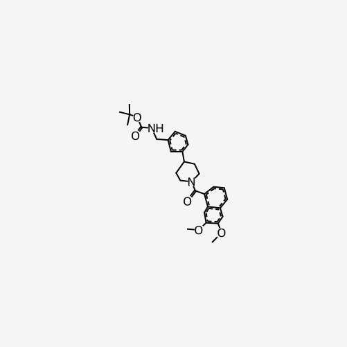 COc1cc2cccc(C(=O)N3CCC(c4cccc(CNC(=O)OC(C)(C)C)c4)CC3)c2cc1OC